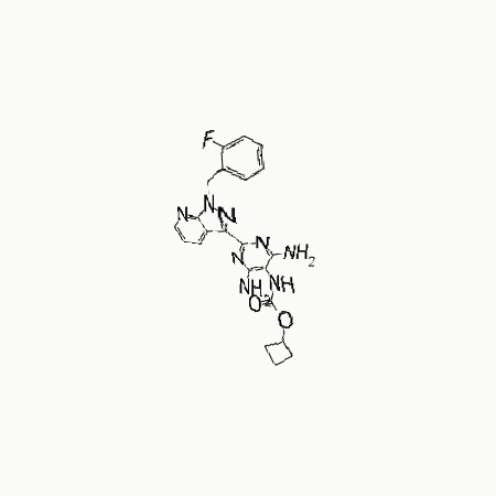 Nc1nc(-c2nn(Cc3ccccc3F)c3ncccc23)nc(N)c1NC(=O)OC1CCC1